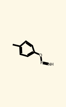 Cc1ccc(OP=N)cc1